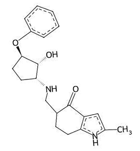 Cc1cc2c([nH]1)CCC(CN[C@@H]1CC[C@@H](Oc3ccccc3)[C@@H]1O)C2=O